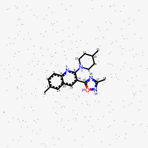 Cc1ccc2nc(N3CCC(C)CC3)c(-c3nc(C)no3)cc2c1